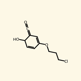 O=C=C1C=C(OCCCCl)C=CC1O